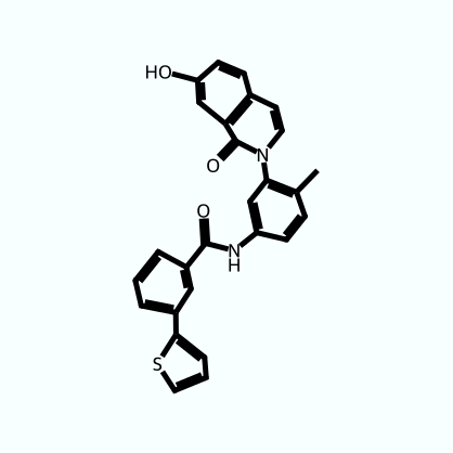 Cc1ccc(NC(=O)c2cccc(-c3cccs3)c2)cc1-n1ccc2ccc(O)cc2c1=O